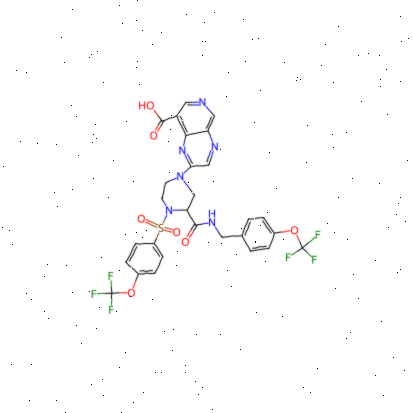 O=C(O)c1cncc2ncc(N3CCN(S(=O)(=O)c4ccc(OC(F)(F)F)cc4)C(C(=O)NCc4ccc(OC(F)(F)F)cc4)C3)nc12